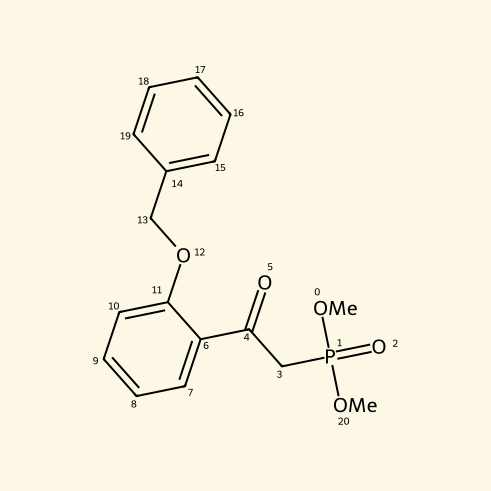 COP(=O)(CC(=O)c1ccccc1OCc1ccccc1)OC